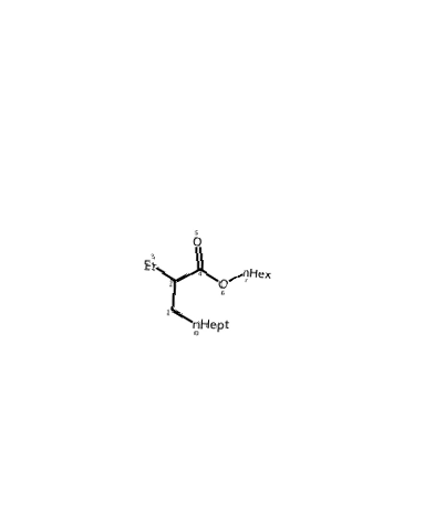 CCCCCCCCC(CC)C(=O)OCCCCCC